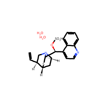 C=C[C@H]1CN2CC[C@H]1C[C@@H]2[C@@H](OS(=O)(=O)O)c1ccnc2ccccc12.O.O